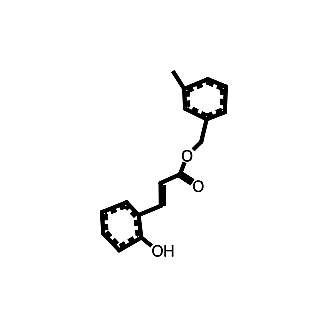 Cc1cccc(COC(=O)/C=C/c2ccccc2O)c1